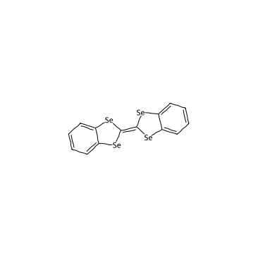 c1ccc2c(c1)[Se]C(=C1[Se]c3ccccc3[Se]1)[Se]2